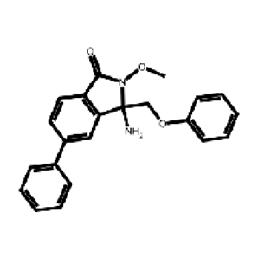 CON1C(=O)c2ccc(-c3ccccc3)cc2C1(N)COc1ccccc1